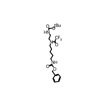 CC(C)(C)OC(=O)NCCN(CCCCCNC(=O)OCc1ccccc1)C(=O)C(F)(F)F